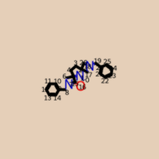 CN1C2(CCC13CN(Cc1ccccc1)C3=O)CN(Cc1ccccc1)C2